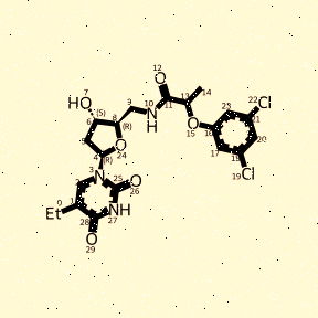 CCc1cn([C@H]2C[C@H](O)[C@@H](CNC(=O)C(C)Oc3cc(Cl)cc(Cl)c3)O2)c(=O)[nH]c1=O